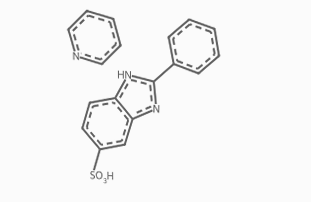 O=S(=O)(O)c1ccc2[nH]c(-c3ccccc3)nc2c1.c1ccncc1